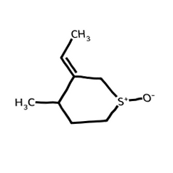 C/C=C1\C[S+]([O-])CCC1C